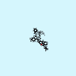 C[Si](C)(C)CCOCn1c(C(NC(=O)OCc2ccccc2)C2CCC(F)(F)CC2)nc2ccc(C3(C(=O)N4CC(F)(F)C4)CCOCC3)c(F)c21